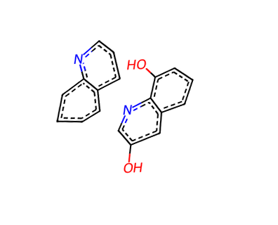 Oc1cnc2c(O)cccc2c1.c1ccc2ncccc2c1